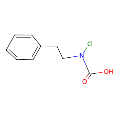 O=C(O)N(Cl)CCc1ccccc1